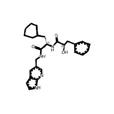 O=C(N[C@@H](CC1CCCCC1)C(=O)NCc1cnc2[nH]ccc2c1)[C@H](O)Cc1ccccc1